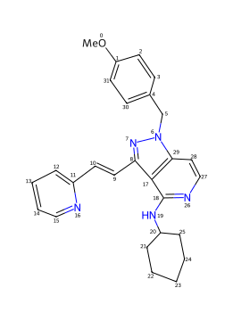 COc1ccc(Cn2nc(C=Cc3ccccn3)c3c(NC4CCCCC4)nccc32)cc1